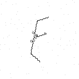 CCCCCCCC/C=C\CCCCCCCC(=O)OCC(COC(=O)CCCCCCC/C=C\CCCCCCCC)OC(=O)CCCCCBr